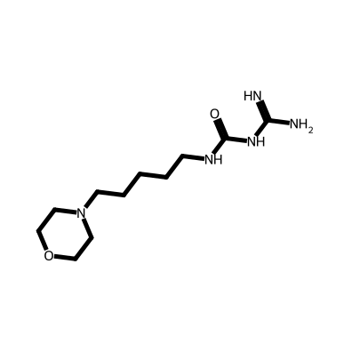 N=C(N)NC(=O)NCCCCCN1CCOCC1